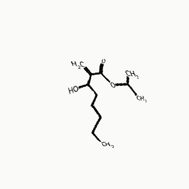 C=C(C(=O)OC(C)C)C(O)CCCCC